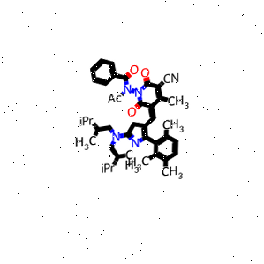 CC(=O)N(C(=O)c1ccccc1)N1C(=O)C(C#N)=C(C)/C(=C/C2=C(c3c(C)ccc(C)c3C)N=C(N(CC(C)C(C)C)CC(C)C(C)C)C2)C1=O